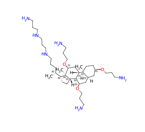 C[C@H](CCCNCCCNCCCN)[C@H]1CC[C@H]2[C@@H]3[C@H](OCCCN)C[C@@H]4C[C@H](OCCCN)CC[C@]4(C)[C@H]3C[C@H](OCCCN)[C@]12C